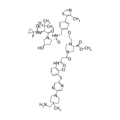 COC(=O)[C@H]1CN(C(=O)CC(=O)Nc2cccc(Sc3cnc(N4CCC(C)(CN)CC4)cn3)c2Cl)CCN1CCOc1cc(-c2scnc2C)ccc1CNC(=O)[C@@H]1C[C@@H](O)CN1C(=O)[C@@H](NC(=O)C1(F)CC1)C(C)(C)C